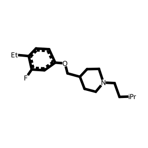 CCc1ccc(OCC2CCN(CCC(C)C)CC2)cc1F